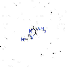 N#Cc1ncc(N)cn1